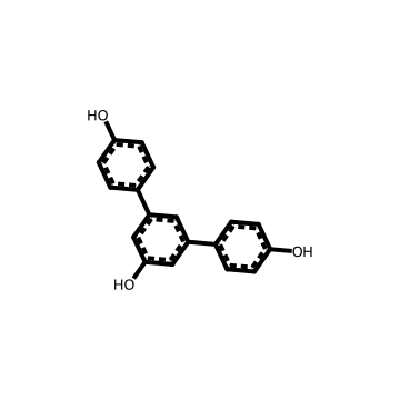 Oc1ccc(-c2cc(O)cc(-c3ccc(O)cc3)c2)cc1